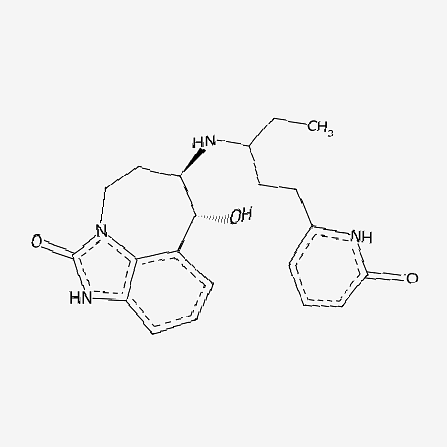 CCC(CCc1cccc(=O)[nH]1)N[C@@H]1CCn2c(=O)[nH]c3cccc(c32)[C@H]1O